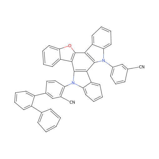 N#Cc1cccc(-n2c3ccccc3c3c4oc5ccccc5c4c4c(c5ccccc5n4-c4ccc(-c5ccccc5-c5ccccc5)cc4C#N)c32)c1